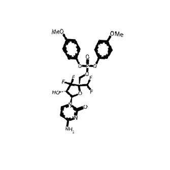 COc1ccc(OP(=O)(OC[C@@]2(C(F)F)O[C@@H](n3ccc(N)nc3=O)[C@H](O)C2(F)F)Oc2ccc(OC)cc2)cc1